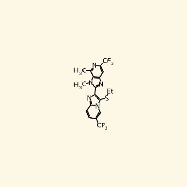 CCSc1c(-c2nc3cc(C(F)(F)F)nc(C)c3n2C)nc2ccc(C(F)(F)F)cn12